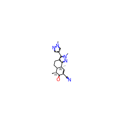 C[C@@H]1C(=O)C(C#N)=C[C@]2(C)c3nn(C)c(-c4cnn(C)c4)c3CCC12